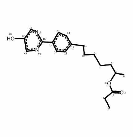 CCC(=O)OC(C)CCCCCc1ccc(-c2ncc(O)cn2)cc1